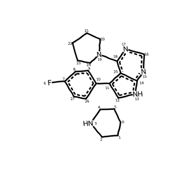 C1CCNCC1.Fc1ccc(-c2c[nH]c3ncnc(N4CCCCC4)c23)cc1